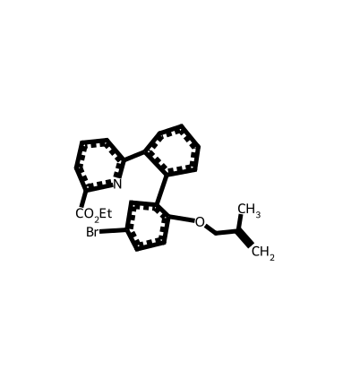 C=C(C)COc1ccc(Br)cc1-c1ccccc1-c1cccc(C(=O)OCC)n1